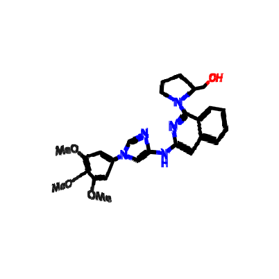 COc1cc(-n2cnc(Nc3cc4ccccc4c(N4CCCC4CO)n3)c2)cc(OC)c1OC